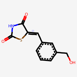 O=C1NC(=O)/C(=C/c2cccc(CO)c2)S1